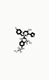 CCOP1(=O)N=C([N+]2(Cc3ccc(F)cc3)N=C(c3ccsc3)C(O)=CC2=O)Nc2ccc(NS(C)(=O)=O)cc21